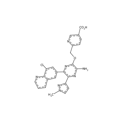 Cn1ccc(-c2nc(N)c(OCc3ccc(C(=O)O)cn3)nc2-c2cc(Cl)c3ncccc3c2)n1